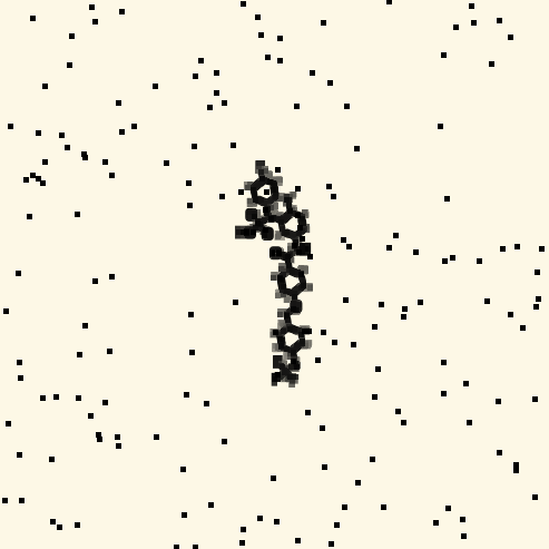 O=C(Nc1ccc(F)c(N(c2ccc(F)cc2)S(=O)(=O)O)c1)c1ccc(OCc2ccc(SC(F)(F)F)cc2)cc1